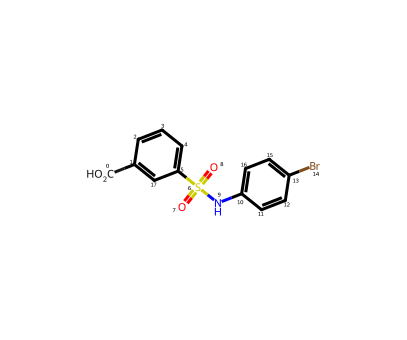 O=C(O)c1cccc(S(=O)(=O)Nc2ccc(Br)cc2)c1